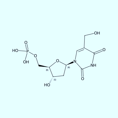 O=c1[nH]c(=O)n([C@H]2C[C@H](O)[C@@H](COP(=O)(O)O)O2)cc1CO